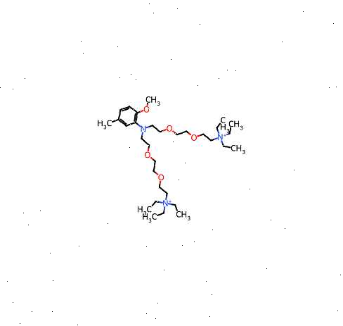 CC[N+](CC)(CC)CCOCCOCCN(CCOCCOCC[N+](CC)(CC)CC)c1cc(C)ccc1OC